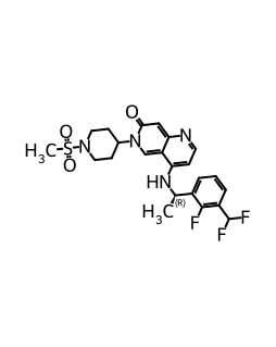 C[C@@H](Nc1ccnc2cc(=O)n(C3CCN(S(C)(=O)=O)CC3)cc12)c1cccc(C(F)F)c1F